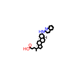 CC(CCC(=O)O)C1CCC2C3CC[C@@H]4C[C@H](Nc5ccc6ccccc6n5)CC[C@]4(C)C3CC[C@]12C